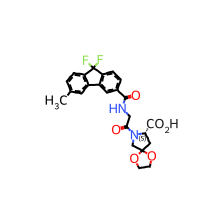 Cc1ccc2c(c1)-c1cc(C(=O)NCC(=O)N3CC4(C[C@H]3C(=O)O)OCCO4)ccc1C2(F)F